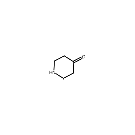 O=C1C[CH]NCC1